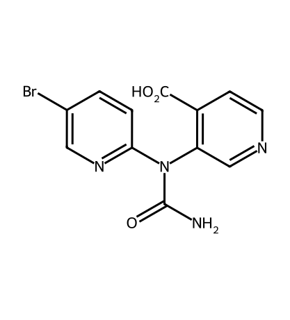 NC(=O)N(c1ccc(Br)cn1)c1cnccc1C(=O)O